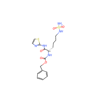 NS(=O)(=O)NCCCC[C@H](NC(=O)OCc1ccccc1)C(=O)Nc1nccs1